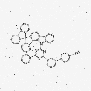 N#Cc1ccc(-c2cccc(-c3nc(-c4ccccc4)nc(-n4c5ccccc5c5ccc6c(c54)-c4ccccc4C64c5ccccc5-c5ccccc54)n3)c2)cc1